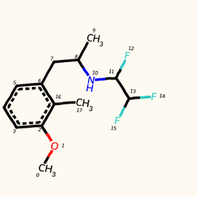 COc1cccc(CC(C)NC(F)C(F)F)c1C